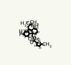 COc1cc(F)ccc1C1(COC(=O)c2ccc(C)s2)C=CC=C2NC(C)(C)CC(C)=C21